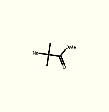 COC(=O)[C](C)(C)[Na]